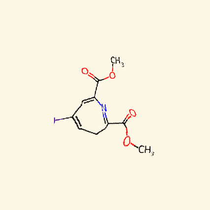 COC(=O)C1=CC(I)=CCC(C(=O)OC)=N1